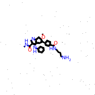 CNC(=O)c1cnc2cc(OC)c(-c3ccc(C(=O)NCCCCN)cc3)cc2c1Nc1ccccc1